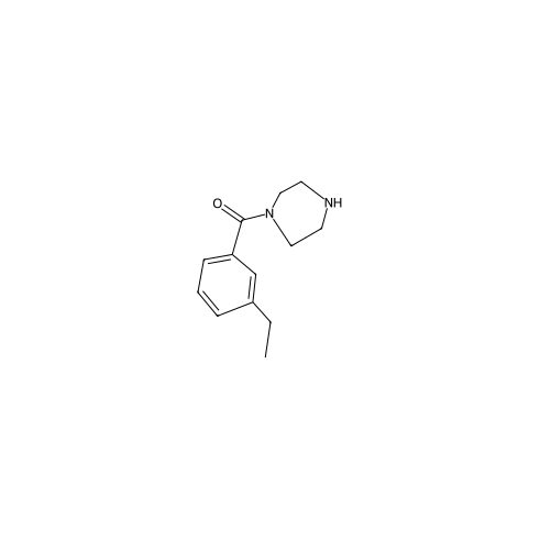 CCc1cccc(C(=O)N2CCNCC2)c1